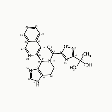 CC(C)(O)c1noc(C(=O)N2CCc3[nH]cnc3[C@H]2c2cc3ccccc3cn2)n1